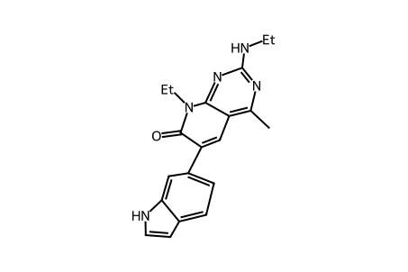 CCNc1nc(C)c2cc(-c3ccc4cc[nH]c4c3)c(=O)n(CC)c2n1